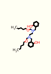 CCCCCOCN(CCN(COCCCCC)Cc1ccccc1O)Cc1ccccc1O